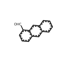 O=Cc1cccc2cc3[c]cccc3cc12